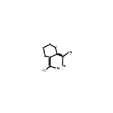 N#CC(C#N)=C1CCCCC1=C(C#N)C#N